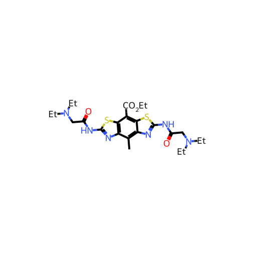 CCOC(=O)c1c2sc(NC(=O)CN(CC)CC)nc2c(C)c2nc(NC(=O)CN(CC)CC)sc12